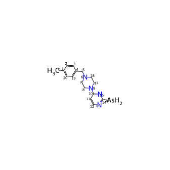 Cc1ccc(CN2CCN(c3ccnc([AsH2])n3)CC2)cc1